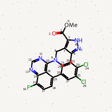 COC(=O)c1[nH]nc2c1CN(c1ncnc3c(F)ccc(-c4ccc(Cl)c(Cl)c4)c13)CC2